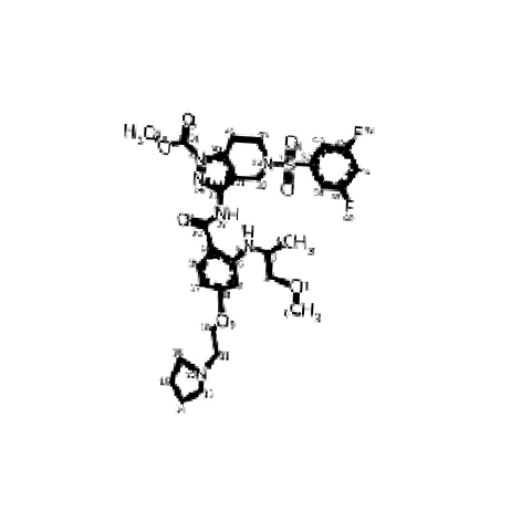 COCC(C)Nc1cc(OCCN2CCCC2)ccc1C(=O)Nc1nn(C(=O)OC)c2c1CN(S(=O)(=O)c1cc(F)cc(F)c1)CC2